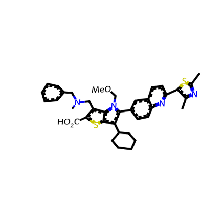 COCn1c(-c2ccc3nc(-c4sc(C)nc4C)ccc3c2)c(C2CCCCC2)c2sc(C(=O)O)c(CN(C)Cc3ccccc3)c21